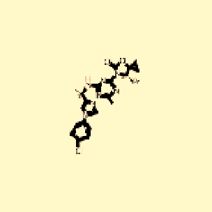 Cc1nc(N[C@@H](C)c2cn(-c3ccc(Cl)cc3)cn2)nc(N2C(=O)OC3(CC3)[C@@H]2C(C)C)n1